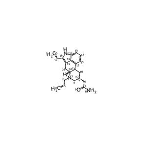 C=CCN1C[C@H](CC(N)=O)CC2c3cccc4[nH]c(C=C)c(c34)C[C@H]21